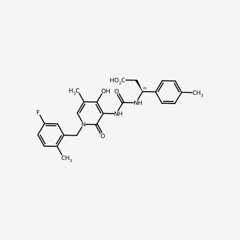 Cc1ccc([C@H](CC(=O)O)NC(=O)Nc2c(O)c(C)cn(Cc3cc(F)ccc3C)c2=O)cc1